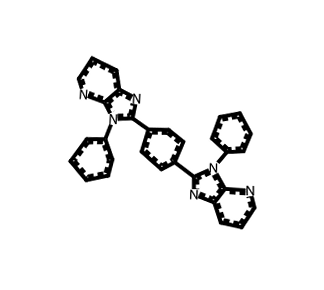 c1ccc(-n2c(-c3ccc(-c4nc5cccnc5n4-c4ccccc4)cc3)nc3cccnc32)cc1